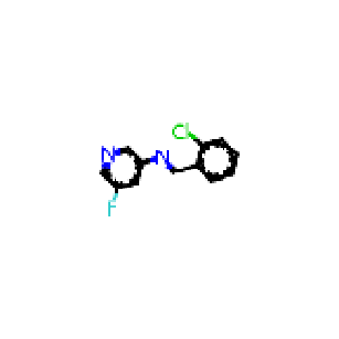 Fc1cncc(/N=C/c2ccccc2Cl)c1